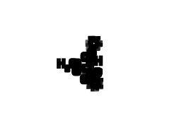 COC(=O)/C=C/C(CCNC(=O)OCc1ccccc1)N1C(=O)c2ccccc2C1=O